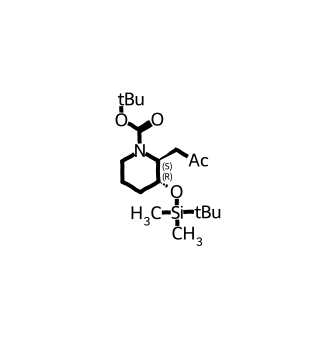 CC(=O)C[C@H]1[C@H](O[Si](C)(C)C(C)(C)C)CCCN1C(=O)OC(C)(C)C